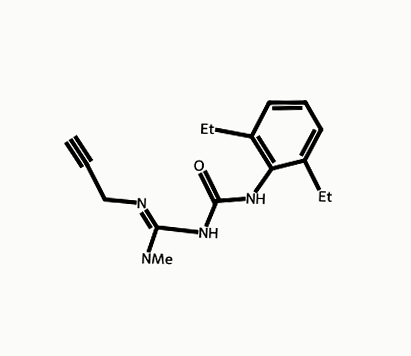 C#CCN=C(NC)NC(=O)Nc1c(CC)cccc1CC